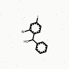 OC(c1ccccc1)c1ccc(I)cc1Br